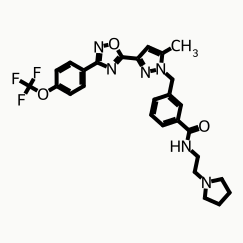 Cc1cc(-c2nc(-c3ccc(OC(F)(F)F)cc3)no2)nn1Cc1cccc(C(=O)NCCN2CCCC2)c1